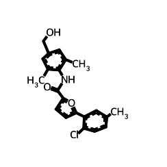 Cc1ccc(Cl)c(-c2ccc(C(=O)Nc3c(C)cc(CO)cc3C)o2)c1